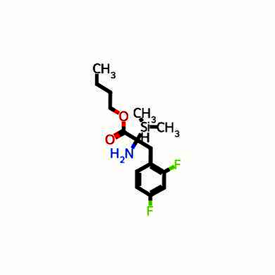 CCCCOC(=O)C(N)(Cc1ccc(F)cc1F)[SiH](C)C